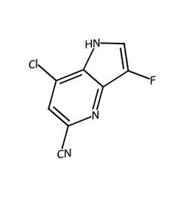 N#Cc1cc(Cl)c2[nH]cc(F)c2n1